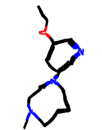 CCOc1cncc(N2CCCN(C)CC2)c1